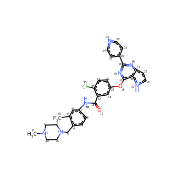 CN1CCN(Cc2ccc(NC(=O)c3cc(Oc4nc(-c5ccncc5)nc5cc[nH]c45)ccc3Cl)cc2C(F)(F)F)CC1